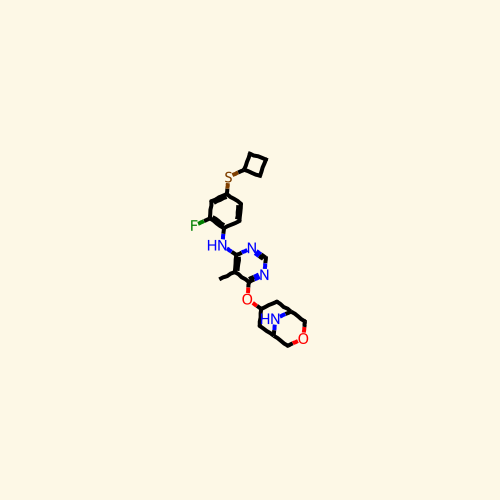 Cc1c(Nc2ccc(SC3CCC3)cc2F)ncnc1OC1CC2COCC(C1)N2